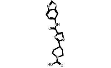 O=C(Nc1ccc2ncsc2c1)c1csc(C2CCN(C(=O)O)CC2)n1